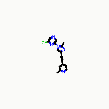 Cc1cc(C#Cc2cn(-c3cncc(Cl)n3)c(C)n2)ccn1